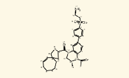 CC(=O)N1c2ccc(-c3ccc(S(=O)(=O)CCN)cc3)cc2N(C(=O)C2CC3(/C=C\CCCCC3)CO2)C[C@@H]1C